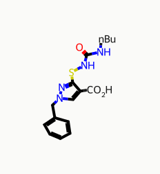 CCCCNC(=O)NSc1nn(Cc2ccccc2)cc1C(=O)O